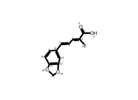 O=C(O)C(F)=CC=Cc1ccc2c(c1)OCO2